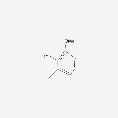 COc1cccc(C)c1C(F)(F)F